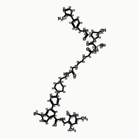 Cc1cc(C)c(CNC(=O)c2cc(-c3ccc(N4CCN(CCNC(=O)COCCOCC(=O)N[C@H](C(=O)N5C[C@H](O)C[C@H]5C(=O)NCc5ccc(-c6scnc6C)cc5)C(C)(C)C)CC4)nc3)cc3c2cnn3C(C)C)c(=O)[nH]1